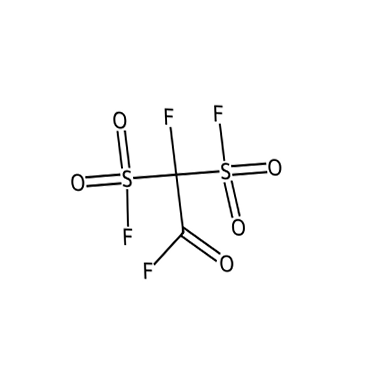 O=C(F)C(F)(S(=O)(=O)F)S(=O)(=O)F